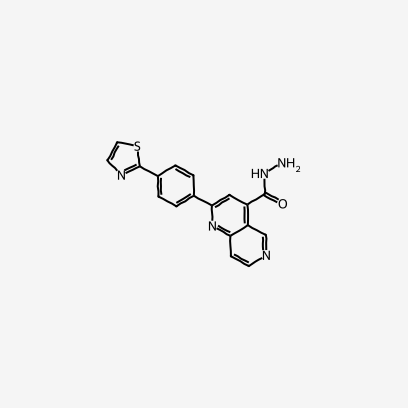 NNC(=O)c1cc(-c2ccc(-c3nccs3)cc2)nc2ccncc12